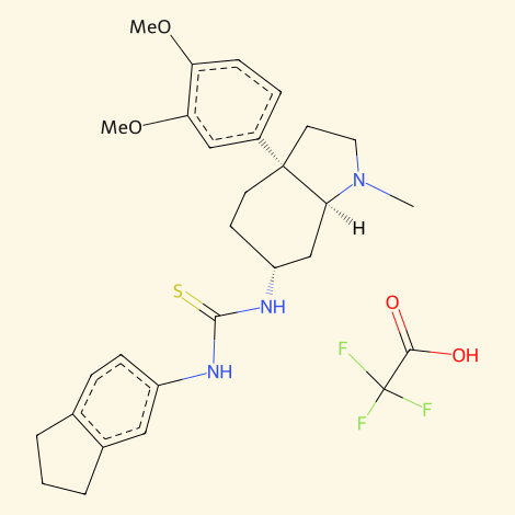 COc1ccc([C@@]23CC[C@@H](NC(=S)Nc4ccc5c(c4)CCC5)C[C@@H]2N(C)CC3)cc1OC.O=C(O)C(F)(F)F